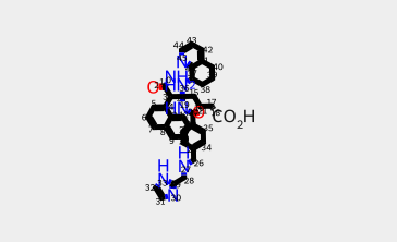 NC(=O)C(c1cccc2ccccc12)C(CCCC(=O)O)(NC(=O)c1ccc(CNCc2ncc[nH]2)cc1)NC1CCCc2cccnc21